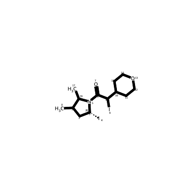 CC1C[C@@H](I)N(C(=O)C(I)C2CCOCC2)C1C